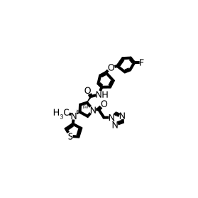 CN(c1ccsc1)[C@@H]1C[C@@H](C(=O)Nc2ccc(Oc3ccc(F)cc3)cc2)N(C(=O)Cn2cncn2)C1